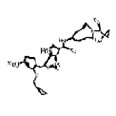 COc1ccc(-c2ncnc3c(C(=O)NC4CCN(C(=O)C5(O)CC5)CC4)c[nH]c23)c(OCC2CC2)c1